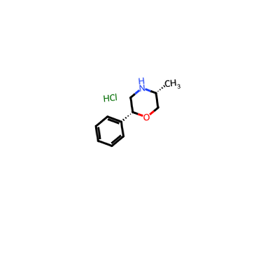 C[C@@H]1CO[C@H](c2ccccc2)CN1.Cl